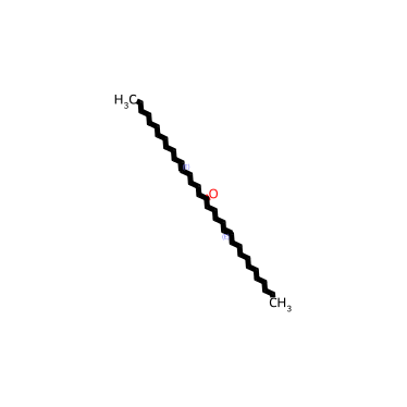 CCCCCCCCCCC/C=C/CCCCC(=O)CCCC/C=C/CCCCCCCCCCC